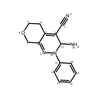 N#CC1=C2CCOCC2=NN(c2ccccc2)C1N